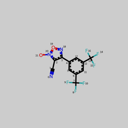 N#Cc1c(-c2cc(C(F)(F)F)cc(C(F)(F)F)c2)no[n+]1[O-]